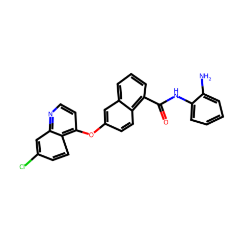 Nc1ccccc1NC(=O)c1cccc2cc(Oc3ccnc4cc(Cl)ccc34)ccc12